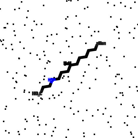 CCCCCCCCCCCCCCCCCCNCCC(=O)O.[NaH]